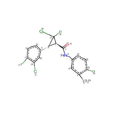 O=C(O)c1cc(NC(=O)[C@H]2[C@H](c3ccc(F)c(Cl)c3)C2(Cl)Cl)ccc1Cl